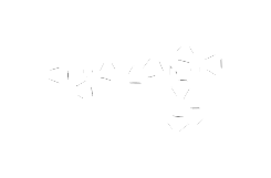 c1ccc(-c2cccc3c2oc2ccc(-c4ccc5cc(N(c6ccc(-c7cccc8ccccc78)cc6)c6cccc7c6oc6ccccc67)ccc5c4)cc23)cc1